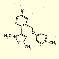 Cc1ccc(OCc2cc(Br)ccc2-c2cc(C)nn2C)cc1